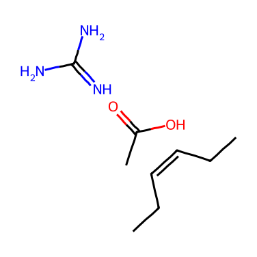 CC(=O)O.CC/C=C\CC.N=C(N)N